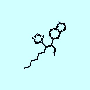 CCCCCCC(=C(C=O)c1ccc2occc2c1)n1cncn1